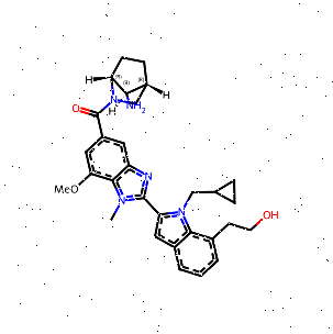 COc1cc(C(=O)N2C[C@H]3CC[C@@H]2[C@@H]3N)cc2nc(-c3cc4cccc(CCO)c4n3CC3CC3)n(C)c12